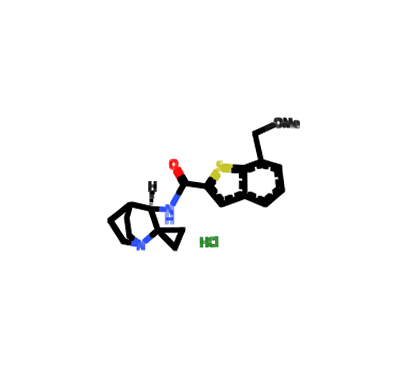 COCc1cccc2cc(C(=O)N[C@@H]3C4CCN(CC4)C34CC4)sc12.Cl